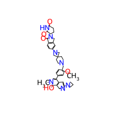 COc1cc(C2=CN(C)C(O)c3cnc(N4CCC4)cc32)ccc1CN1CCC2(CC1)CN(c1ccc3c(c1)CN(C1CCC(=O)NC1=O)C3=O)C2